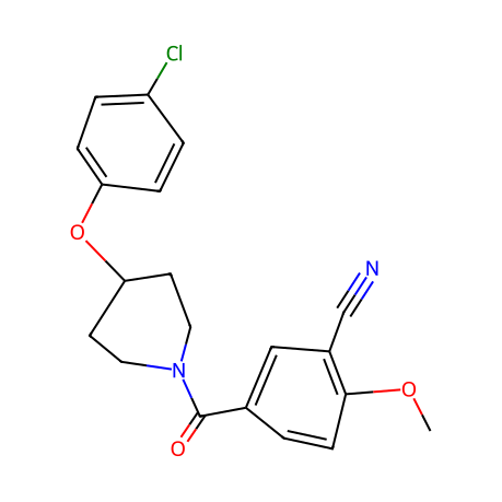 COc1ccc(C(=O)N2CCC(Oc3ccc(Cl)cc3)CC2)cc1C#N